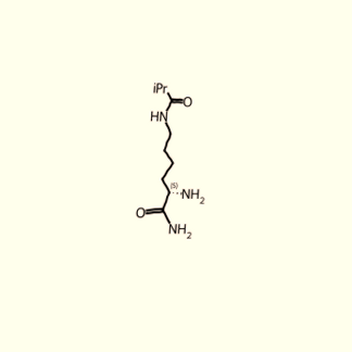 CC(C)C(=O)NCCCC[C@H](N)C(N)=O